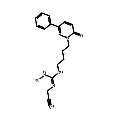 C#CC/N=C(\NC#N)NCCCCn1nc(-c2ccccc2)ccc1=O